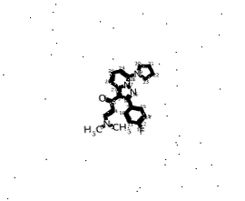 CN(C)C=CC(=O)c1c(-c2ccc(F)cc2)nn2c(N3CCCC3)cccc12